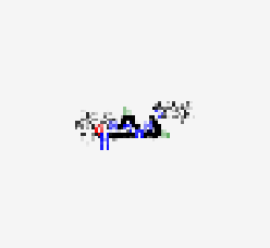 CCOC(=O)CN(CC(=O)OCC)Cc1cc(Br)cc(CN(CCCCCCNC(=O)C(F)(F)F)Cc2cc(Br)cc(CN(CC(=O)OCC)CC(=O)OCC)n2)n1